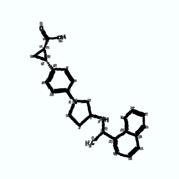 C[C@@H](NC1CCN(c2ccc([C@@H]3C[C@H]3C(=O)O)cc2)C1)c1cccc2ccccc12